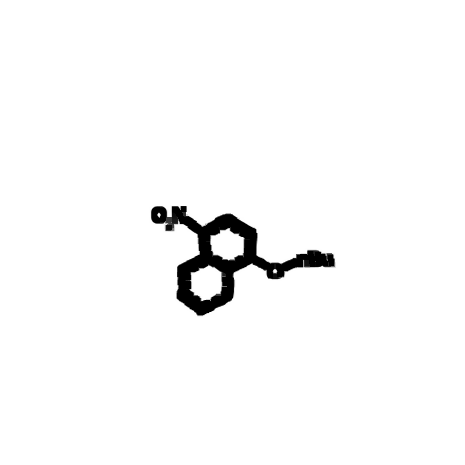 CCCCOc1ccc([N+](=O)[O-])c2ccccc12